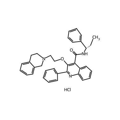 CC[C@H](NC(=O)c1c(OCCN2CCc3ccccc3C2)c(-c2ccccc2)nc2ccccc12)c1ccccc1.Cl